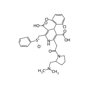 CN(C)CC1CCCN1C(=O)CC1=C(C(=O)O)C(c2c(Cl)cccc2Cl)C(C(=O)O)=C(C[S@+]([O-])c2ccccc2)N1